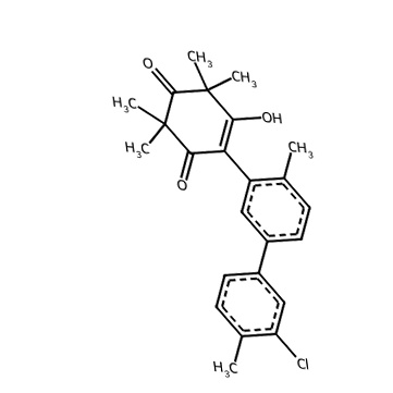 Cc1ccc(-c2ccc(C)c(C3=C(O)C(C)(C)C(=O)C(C)(C)C3=O)c2)cc1Cl